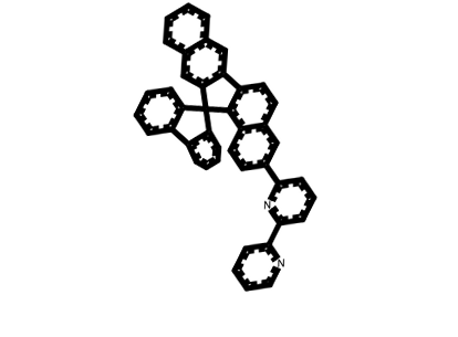 c1ccc(-c2cccc(-c3ccc4c5c(ccc4c3)-c3cc4ccccc4cc3C53c4ccccc4-c4ccccc43)n2)nc1